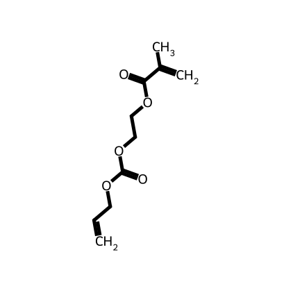 C=CCOC(=O)OCCOC(=O)C(=C)C